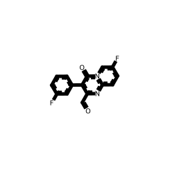 O=Cc1nc2ccc(F)cn2c(=O)c1-c1cccc(F)c1